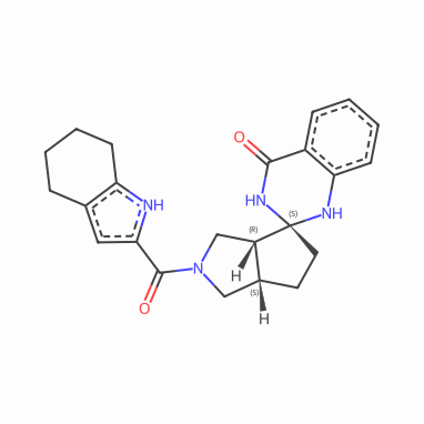 O=C1N[C@]2(CC[C@@H]3CN(C(=O)c4cc5c([nH]4)CCCC5)C[C@@H]32)Nc2ccccc21